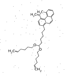 C=CCCCCOC(CCCCCc1ccc(C=C)c2c1ccc1cccc(C)c12)OCCCCC=C